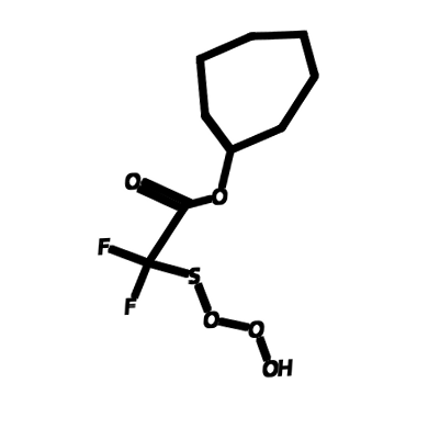 O=C(OC1CCCCCC1)C(F)(F)SOOO